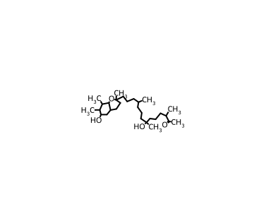 CC(=O)C(C)CCCC(C)(O)CCCC(C)CCCC1(C)CCC2CC(O)C(C)C(C)C2O1